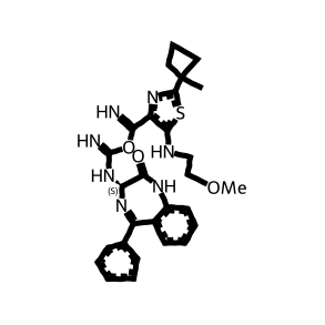 COCCNc1sc(C2(C)CCC2)nc1C(=N)OC(=N)N[C@H]1N=C(c2ccccc2)c2ccccc2NC1=O